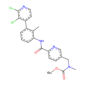 Cc1c(NC(=O)c2ccc(CN(C)C(=O)OC(C)(C)C)cn2)cccc1-c1ccnc(Cl)c1Cl